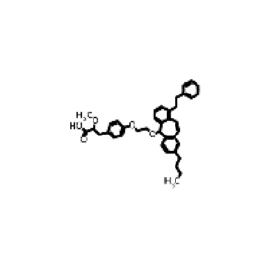 CCCCc1ccc2c(c1)C=Cc1c(CCc3ccccc3)cccc1C2OCCOc1ccc(CC(OC)C(=O)O)cc1